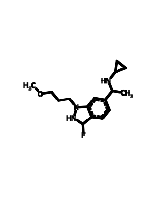 COCCCN1NC(F)c2ccc(C(C)NC3CC3)cc21